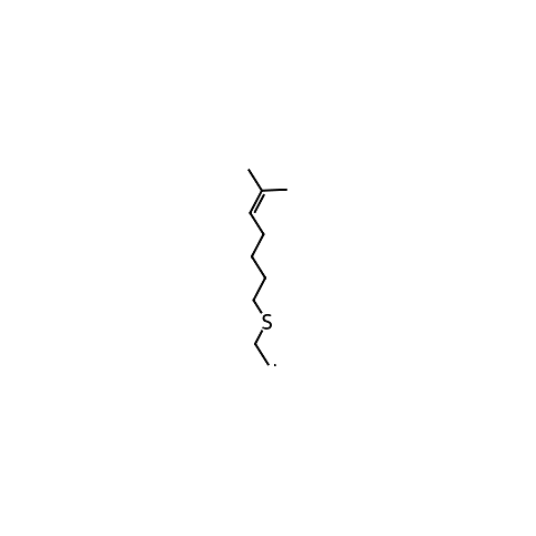 [CH2]CSCCCCC=C(C)C